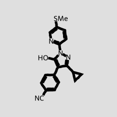 CSc1ccc(-n2nc(C3CC3)c(-c3ccc(C#N)cc3)c2O)nc1